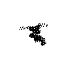 COc1ccc(C(SCC23COC(C(n4cnc5c(NC(=O)c6ccccc6)ncnc54)O2)C3O)(c2ccccc2)c2ccc(OC)cc2)cc1